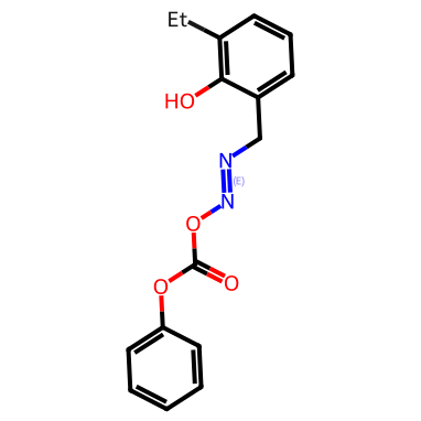 CCc1cccc(C/N=N/OC(=O)Oc2ccccc2)c1O